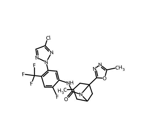 Cc1nnc(C23CC(C)CC(C2)N3C(=O)Nc2cc(-n3ncc(Cl)n3)c(C(F)(F)F)cc2F)o1